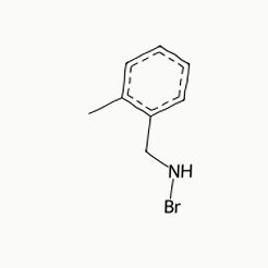 Cc1ccccc1CNBr